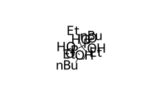 CCCCC(CC)CC(CC)C(CC(CC)CCCC)(P(=O)(O)O)P(=O)(O)O